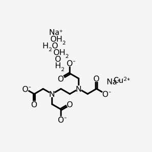 O.O.O.O.O=C([O-])CN(CCN(CC(=O)[O-])CC(=O)[O-])CC(=O)[O-].[Cu+2].[Na+].[Na+]